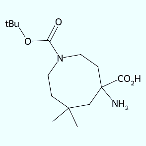 CC1(C)CCN(C(=O)OC(C)(C)C)CCC(N)(C(=O)O)C1